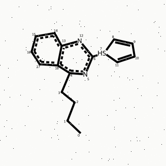 CCCCc1nc([SH]2C=CC=C2)nc2ccccc12